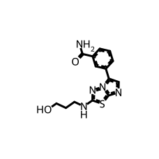 NC(=O)c1cccc(-c2cnc3sc(NCCCO)nn23)c1